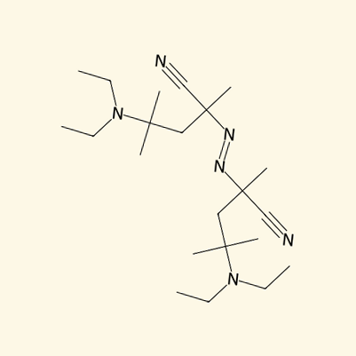 CCN(CC)C(C)(C)CC(C)(C#N)N=NC(C)(C#N)CC(C)(C)N(CC)CC